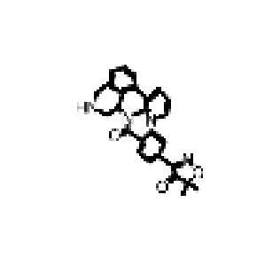 CC1(C)ON=C(c2ccc(C(=O)N(c3ncccc3-c3ccccc3)C3CCCNC3)cc2)C1=O